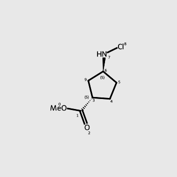 COC(=O)[C@H]1CC[C@H](NCl)C1